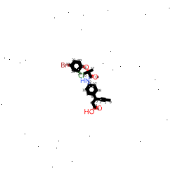 CC#CC(CC(=O)O)c1ccc(NC(=O)C(C)(C)Oc2ccc(Br)cc2Cl)cc1